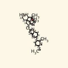 CSc1ccc(-c2ccc3nc(OCC[C@@]4(c5cnno5)CCNCC4C(C)C)sc3n2)c(C)n1